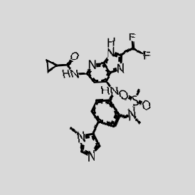 CN(c1cc(-c2cncn2C)ccc1Nc1cc(NC(=O)C2CC2)nc2[nH]c(C(F)F)nc12)S(C)(=O)=O